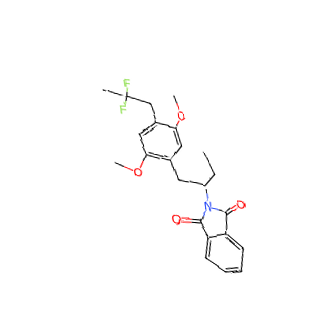 CCC(Cc1cc(OC)c(CC(C)(F)F)cc1OC)N1C(=O)c2ccccc2C1=O